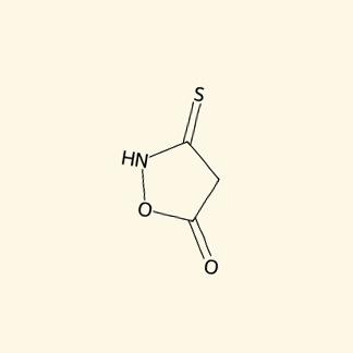 O=C1CC(=S)NO1